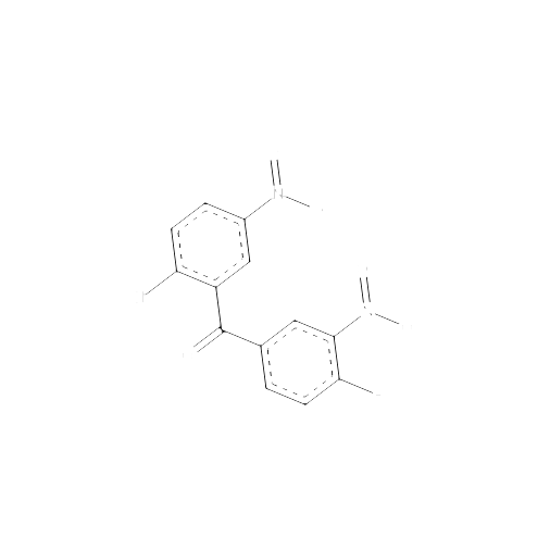 O=C(c1ccc(F)c([N+](=O)[O-])c1)c1cc([N+](=O)[O-])ccc1Cl